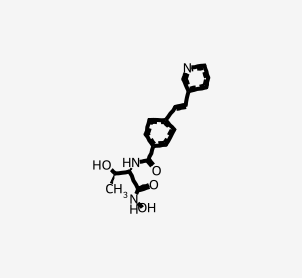 C[C@@H](O)[C@H](NC(=O)c1ccc(/C=C/c2cccnc2)cc1)C(=O)NO